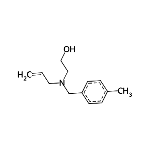 C=CCN(CCO)Cc1ccc(C)cc1